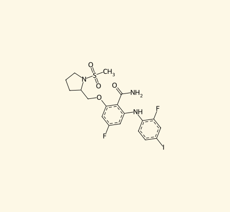 CS(=O)(=O)N1CCCC1COc1cc(F)cc(Nc2ccc(I)cc2F)c1C(N)=O